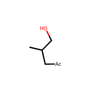 CC(=O)CC(C)CO